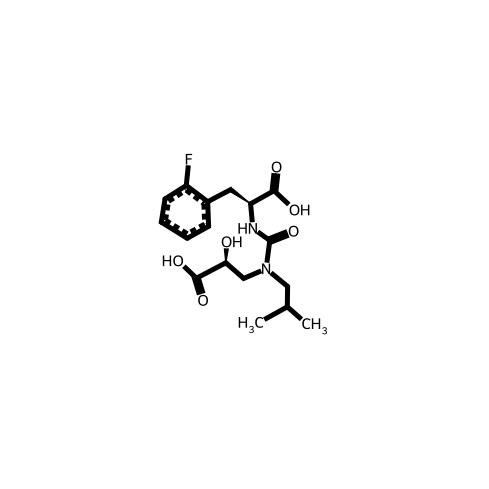 CC(C)CN(C[C@H](O)C(=O)O)C(=O)N[C@@H](Cc1ccccc1F)C(=O)O